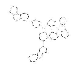 c1ccc2c(c1)-c1ccccc1C21c2ccccc2-c2c(N(c3ccc(-c4ccc5c(ccc6ccccc65)c4)cc3)c3ccc(-c4ccc5sc6ccccc6c5c4)cc3)cccc21